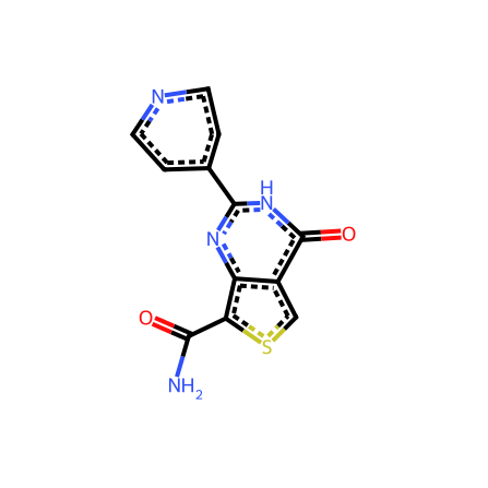 NC(=O)c1scc2c(=O)[nH]c(-c3ccncc3)nc12